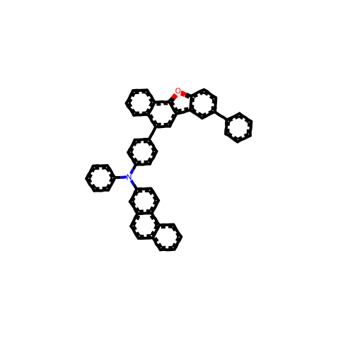 c1ccc(-c2ccc3oc4c5ccccc5c(-c5ccc(N(c6ccccc6)c6ccc7c(ccc8ccccc87)c6)cc5)cc4c3c2)cc1